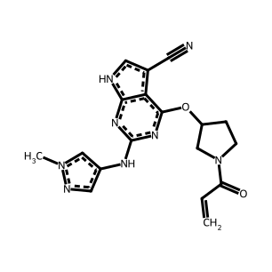 C=CC(=O)N1CCC(Oc2nc(Nc3cnn(C)c3)nc3[nH]cc(C#N)c23)C1